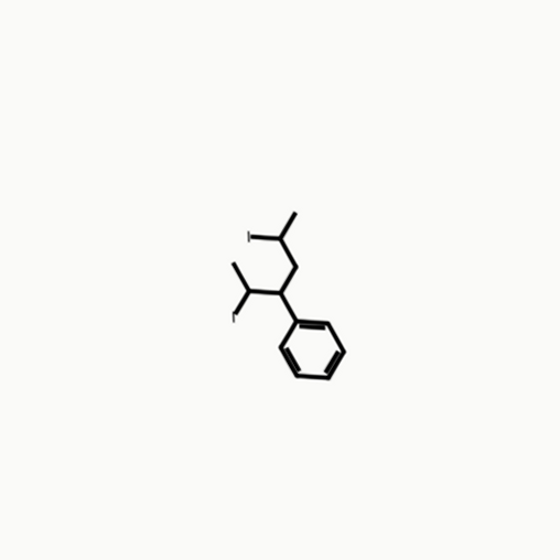 CC(I)CC(c1ccccc1)C(C)I